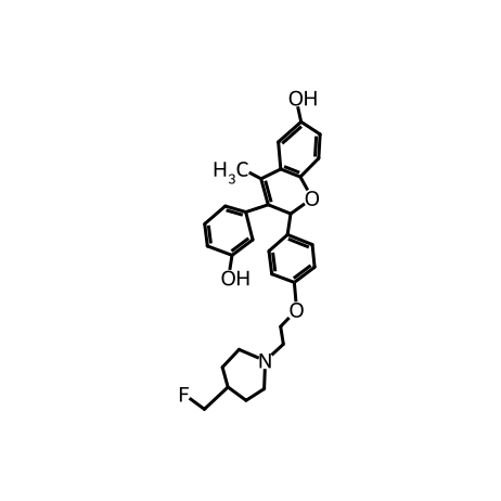 CC1=C(c2cccc(O)c2)C(c2ccc(OCCN3CCC(CF)CC3)cc2)Oc2ccc(O)cc21